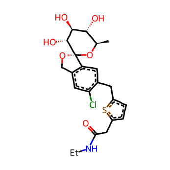 CCNC(=O)Cc1ccc(Cc2cc3c(cc2Cl)CO[C@]32O[C@H](C)[C@@H](O)[C@H](O)[C@H]2O)s1